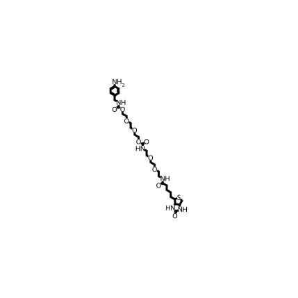 Nc1ccc(CNC(=O)OCCOCCOCCOC(=O)NCCOCCOCCNC(=O)CCCCC2SCC3NC(=O)NC32)cc1